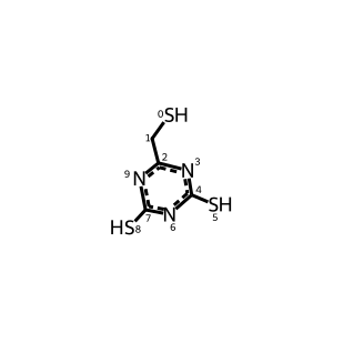 SCc1nc(S)nc(S)n1